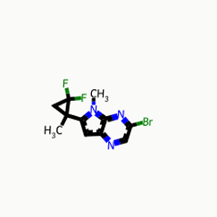 Cn1c(C2(C)CC2(F)F)cc2ncc(Br)nc21